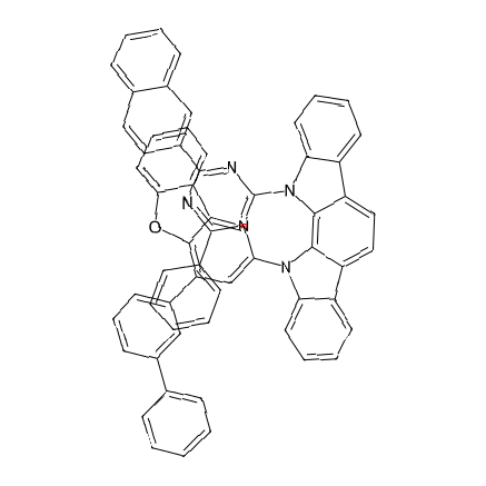 c1ccc(-c2cccc(-c3cc(-n4c5ccccc5c5ccc6c7ccccc7n(-c7nc(-c8ccccc8)nc(-c8ccc9ccccc9c8)n7)c6c54)cc4c3oc3ccccc34)c2)cc1